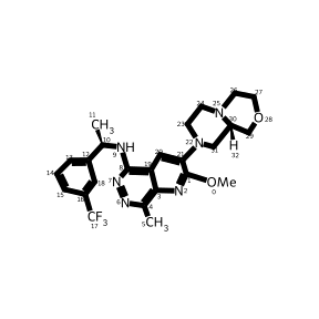 COc1nc2c(C)nnc(N[C@H](C)c3cccc(C(F)(F)F)c3)c2cc1N1CCN2CCOC[C@@H]2C1